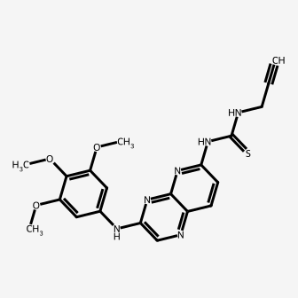 C#CCNC(=S)Nc1ccc2ncc(Nc3cc(OC)c(OC)c(OC)c3)nc2n1